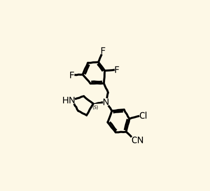 N#Cc1ccc(N(Cc2cc(F)cc(F)c2F)[C@H]2CCNC2)cc1Cl